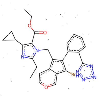 CCOC(=O)c1c(C2CC2)nc(CC)n1Cc1c2ccocc-2c(Br)c1-c1ccccc1-c1nnn[nH]1